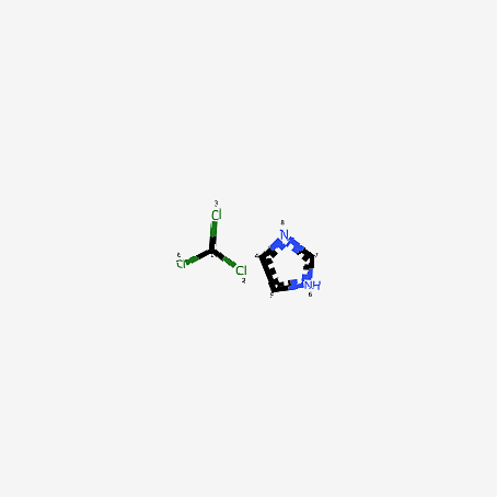 ClC(Cl)Cl.c1c[nH]cn1